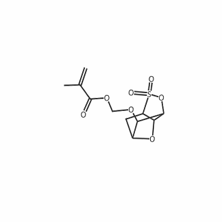 C=C(C)C(=O)OCOC1C2CC3C(O2)C1OS3(=O)=O